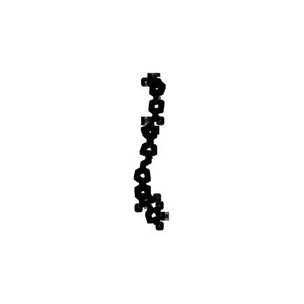 N#Cc1ccc(N2CCC(C(=O)Nc3ccc(N4CCN(CCC5CCN(c6ccc7c(c6)C(=O)N(C6CCC(=O)NC6=O)C7=O)CC5)CC4)cn3)CC2)cc1Cl